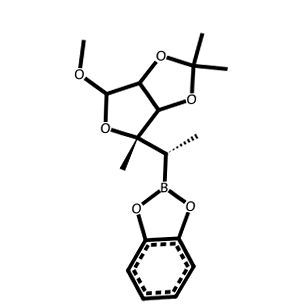 COC1O[C@@](C)([C@H](C)B2Oc3ccccc3O2)C2OC(C)(C)OC12